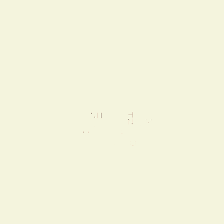 C[C@@H](CNC(=O)c1ccc2c(c1)NC(=O)CO2)c1ccccc1